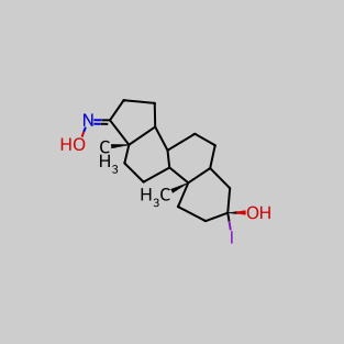 C[C@]12CC[C@@](O)(I)CC1CCC1C2CC[C@]2(C)/C(=N\O)CCC12